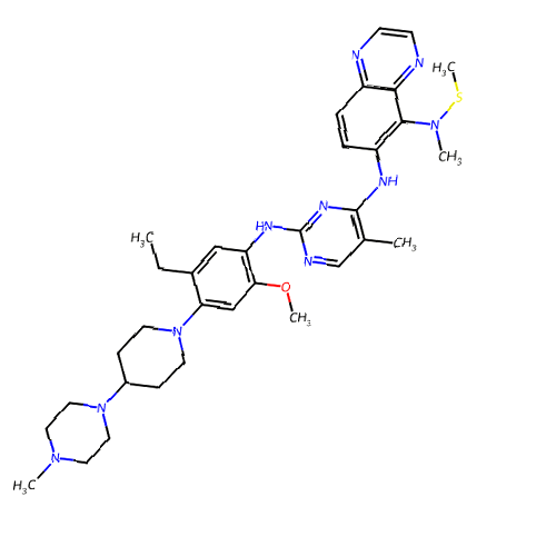 CCc1cc(Nc2ncc(C)c(Nc3ccc4nccnc4c3N(C)SC)n2)c(OC)cc1N1CCC(N2CCN(C)CC2)CC1